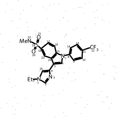 CCn1cnc(-c2cn(-c3ccc(C(F)(F)F)cc3)c3ccc(S(=O)(=O)NC)cc23)c1